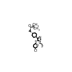 CN(C)C(=O)[C@@H]1C[C@H]1c1ccc(-c2ncn(CCF)c2Sc2ccc(Cl)cn2)cc1